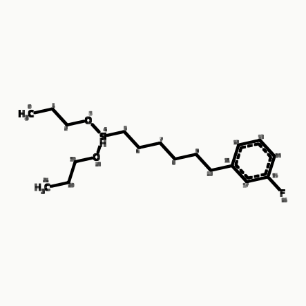 CCCO[SiH](CCCCCCc1cccc(F)c1)OCCC